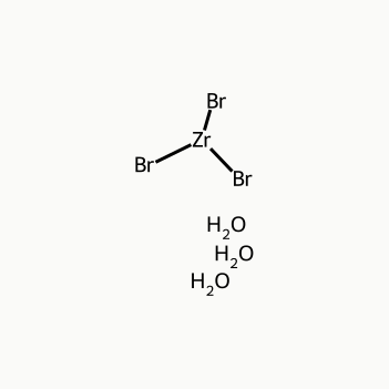 O.O.O.[Br][Zr]([Br])[Br]